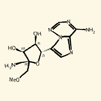 COC[C@@]1(N)O[C@@H](c2cnc3c(N)ncnn23)[C@H](O)[C@@H]1O